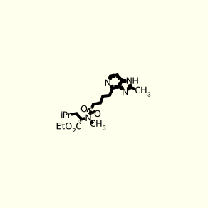 CCOC(=O)[C@H](CC(C)C)N(C)S(=O)(=O)CCCCc1nccc2[nH]c(C)nc12